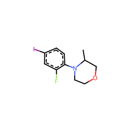 CC1COCCN1c1ccc(I)cc1F